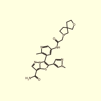 Cc1ncc(NC(=O)CN2CCC3(CCOC3)C2)cc1-c1c(-c2cnn(C)c2)sc2c(C(N)=O)cnn12